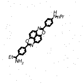 CCCNc1ccc(C2=Nc3ccc4c5c(ccc(c35)O2)N=C(c2ccc(C(N)CC)cc2)O4)cc1